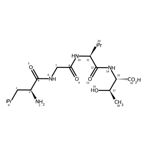 CC(C)C[C@H](N)C(=O)NCC(=O)N[C@H](C(=O)N[C@H](C(=O)O)[C@@H](C)O)C(C)C